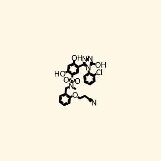 CN(Cc1ccccc1OCCC#N)S(=O)(=O)c1cc(-c2nnc(O)n2-c2ccccc2Cl)c(O)cc1O